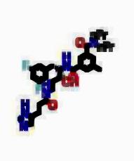 CCCN(CCC)C(=O)c1cc(C)cc(C(=O)N[C@@H](Cc2cc(F)cc(F)c2)[C@H](O)CCNC(=O)CCc2cnc[nH]2)c1